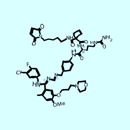 COc1cc(C)c(/C(=N\C=N\Cc2ccc(NC(=O)[C@H](CCCNC(N)=O)NC(=O)C3(C(=O)NCCCCCN4C(=O)C=CC4=O)CCC3)cc2)Nc2ccc(F)c(Cl)c2)cc1OCCCN1CCOCC1